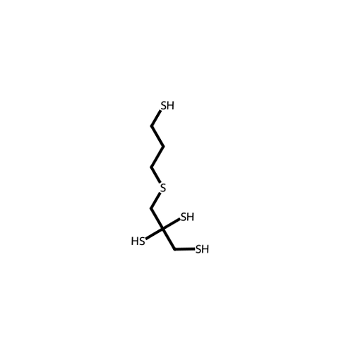 SCCCSCC(S)(S)CS